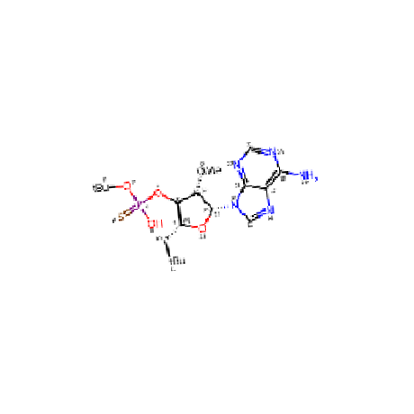 CO[C@H]1C(OP(O)(=S)OC(C)(C)C)[C@@H](CC(C)(C)C)O[C@H]1n1cnc2c(N)ncnc21